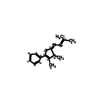 CC(C)=NN=c1sc(-c2ccccc2)c(C)n1C